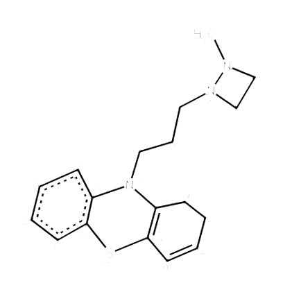 CN1CCN1CCCN1C2=C(C=CCC2)Sc2ccccc21